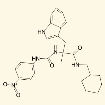 CC(Cc1c[nH]c2ccccc12)(NC(=O)Nc1ccc([N+](=O)[O-])cc1)C(=O)NCC1CCCCC1